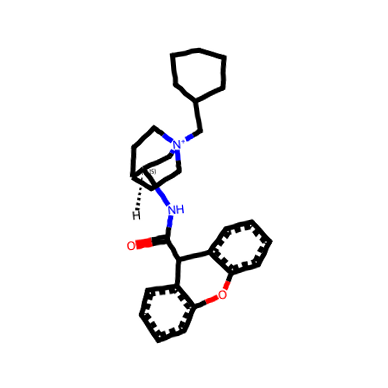 O=C(N[C@@H]1C[N+]2(CC3CCCCC3)CCC1CC2)C1c2ccccc2Oc2ccccc21